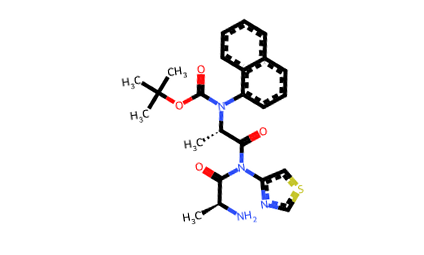 C[C@H](N)C(=O)N(C(=O)[C@H](C)N(C(=O)OC(C)(C)C)c1cccc2ccccc12)c1cscn1